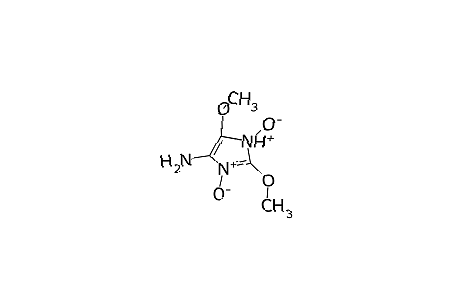 COC1=C(N)[N+]([O-])=C(OC)[NH+]1[O-]